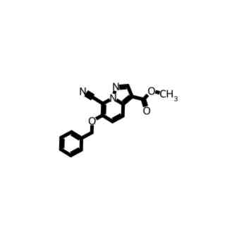 COC(=O)c1cnn2c(C#N)c(OCc3ccccc3)ccc12